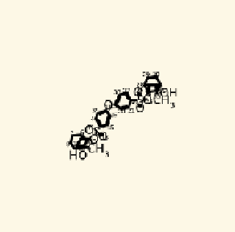 CC1(O)C2CCC(CC2)C1OS(=O)(=O)c1ccc(Oc2ccc(S(=O)(=O)OC3C4CCC(CC4)C3(C)O)cc2)cc1